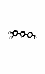 O=CC1CCC(c2ccc(-c3ccc(Cl)c(Cl)c3)nc2)CC1